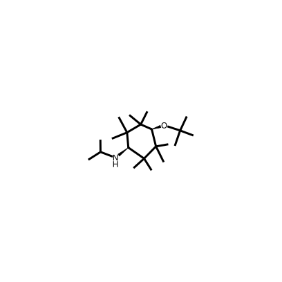 CC(C)N[C@H]1C(C)(C)C(C)(C)[C@@H](OC(C)(C)C)C(C)(C)C1(C)C